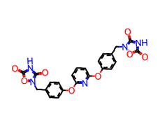 O=c1[nH]c(=O)n(Cc2ccc(Oc3cccc(Oc4ccc(Cn5oc(=O)[nH]c5=O)cc4)n3)cc2)o1